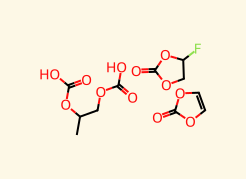 CC(COC(=O)O)OC(=O)O.O=C1OCC(F)O1.O=c1occo1